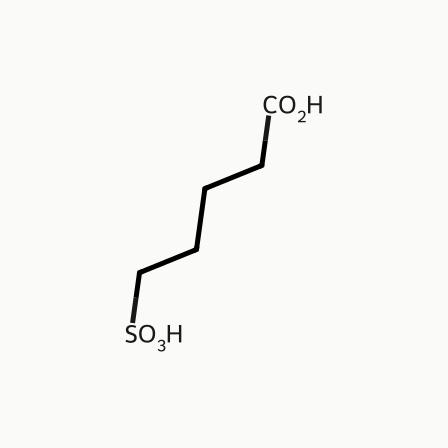 O=C(O)CCCCS(=O)(=O)O